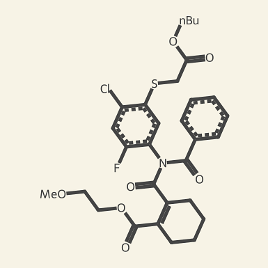 CCCCOC(=O)CSc1cc(N(C(=O)C2=C(C(=O)OCCOC)CCCC2)C(=O)c2ccccc2)c(F)cc1Cl